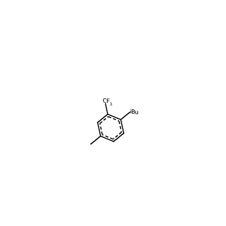 CCC(C)c1ccc(C)cc1C(F)(F)F